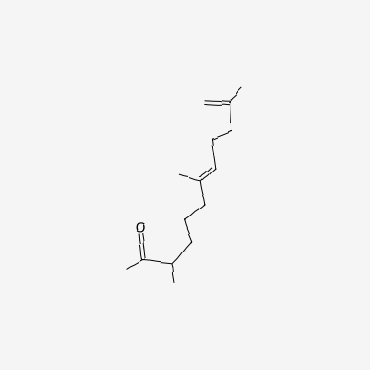 C=C(C)CC/C=C(\C)CCCC(C)C(C)=O